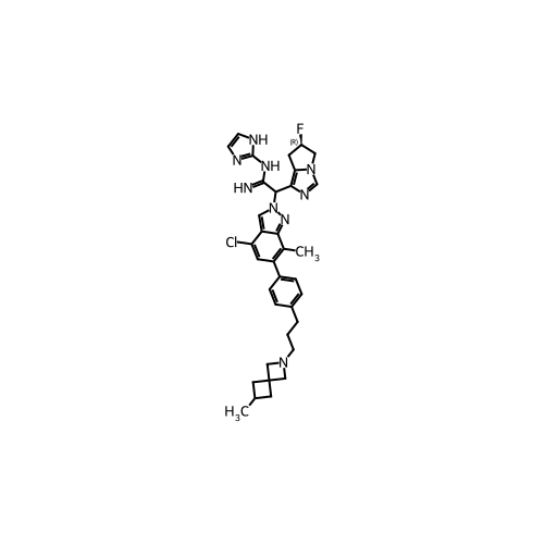 Cc1c(-c2ccc(CCCN3CC4(CC(C)C4)C3)cc2)cc(Cl)c2cn(C(C(=N)Nc3ncc[nH]3)c3ncn4c3C[C@@H](F)C4)nc12